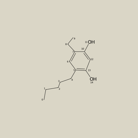 CCCCCc1cc(CC)c(O)cc1O